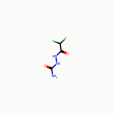 NC(=O)NNC(=O)C(F)F